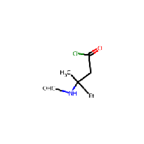 CCC(C)(CC(=O)Cl)N[C]=O